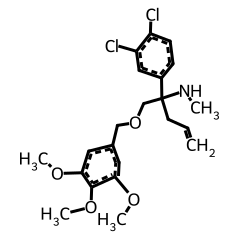 C=CCC(COCc1cc(OC)c(OC)c(OC)c1)(NC)c1ccc(Cl)c(Cl)c1